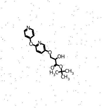 CC(C)(C)OC(=O)C(O)COc1ccc(Oc2ccncc2)nc1